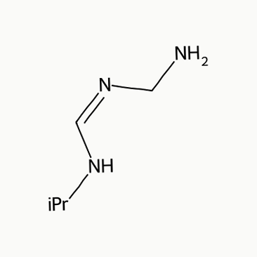 CC(C)N/C=N\CN